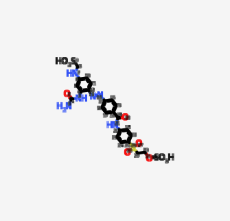 NC(=O)Nc1cc(NCS(=O)(=O)O)ccc1/N=N/c1ccc(C(=O)Nc2ccc(S(=O)(=O)CCOS(=O)(=O)O)cc2)cc1